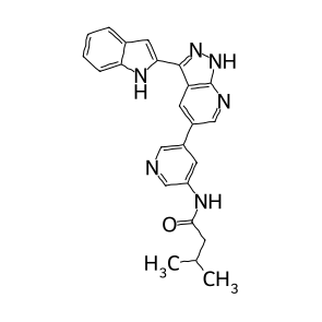 CC(C)CC(=O)Nc1cncc(-c2cnc3[nH]nc(-c4cc5ccccc5[nH]4)c3c2)c1